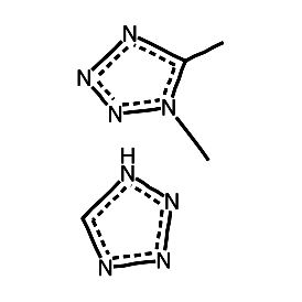 Cc1nnnn1C.c1nnn[nH]1